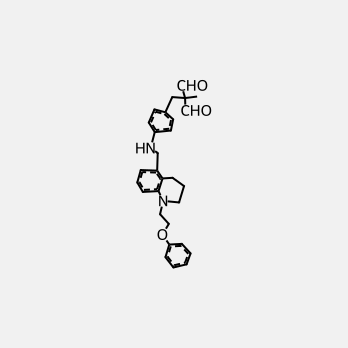 CC(C=O)(C=O)Cc1ccc(NCc2cccc3c2CCCN3CCOc2ccccc2)cc1